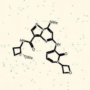 CNc1cc(Nc2cccn(C3COC3)c2=O)nc2c(C(=O)NC3CC[C@H]3OC)cnn12